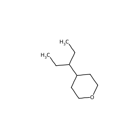 CCC(CC)C1CCOCC1